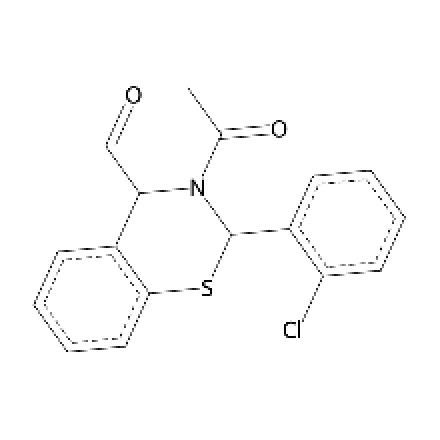 CC(=O)N1C(C=O)c2ccccc2SC1c1ccccc1Cl